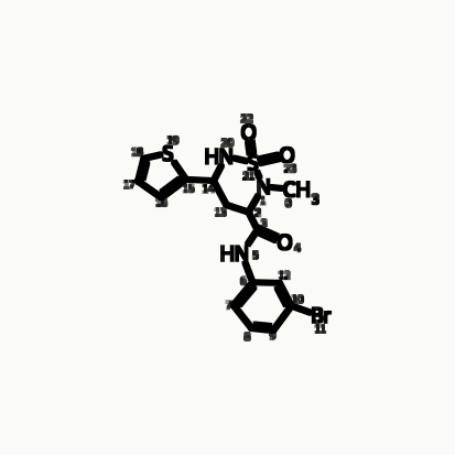 CN1C(C(=O)Nc2cccc(Br)c2)CC(c2cccs2)NS1(=O)=O